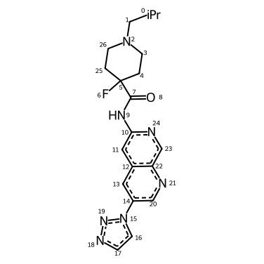 CC(C)CN1CCC(F)(C(=O)Nc2cc3cc(-n4ccnn4)cnc3cn2)CC1